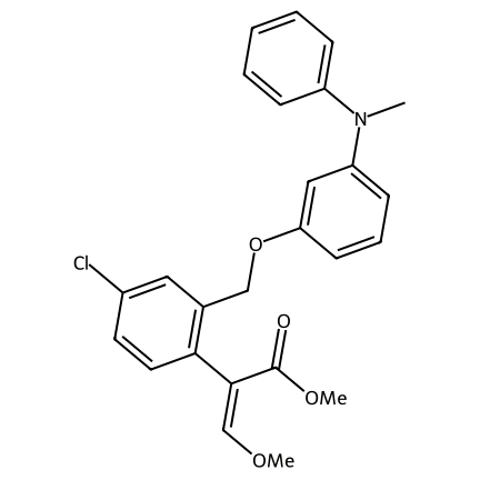 COC=C(C(=O)OC)c1ccc(Cl)cc1COc1cccc(N(C)c2ccccc2)c1